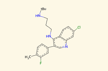 Cc1ccc(-c2cnc3cc(Cl)ccc3c2NCCCNC(C)(C)C)cc1F